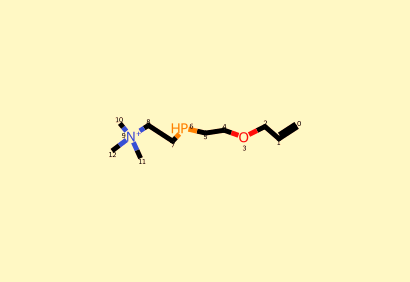 C=CCOCCPCC[N+](C)(C)C